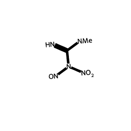 CNC(=N)N(N=O)[N+](=O)[O-]